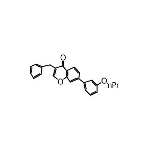 CCCOc1cccc(-c2ccc3c(=O)c(Cc4ccccc4)coc3c2)c1